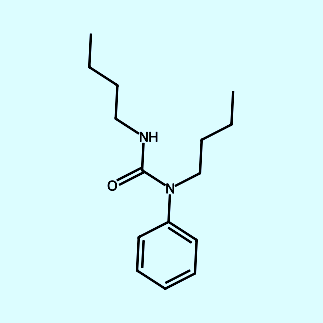 CCCCNC(=O)N(CCCC)c1ccccc1